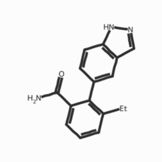 CCc1cccc(C(N)=O)c1-c1ccc2[nH]ncc2c1